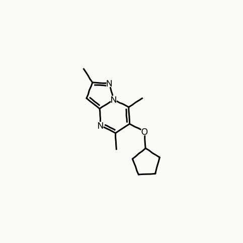 Cc1cc2nc(C)c(OC3CCCC3)c(C)n2n1